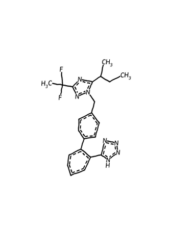 CCC(C)c1nc(C(C)(F)F)nn1Cc1ccc(-c2ccccc2-c2nnn[nH]2)cc1